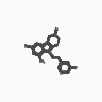 CCc1cc(C)c2c(c1)c1c(n2CCc2cncc(F)c2)CCN(CC)C1